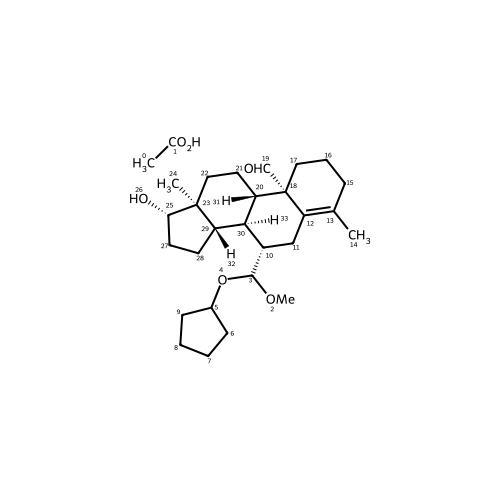 CC(=O)O.COC(OC1CCCC1)[C@H]1CC2=C(C)CCC[C@]2(C=O)[C@H]2CC[C@]3(C)[C@@H](O)CC[C@H]3[C@H]12